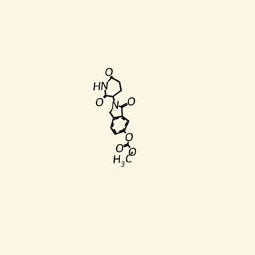 COC(=O)Oc1ccc2c(c1)C(=O)N(C1CCC(=O)NC1=O)C2